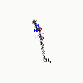 CCC=CCC=CCC=CCC=CCC=CCCCC(=O)NCCNCCNC(=O)c1ccc(CCN2CCCC2)nc1